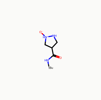 CC(C)(C)NC(=O)C1CN[NH+]([O-])C1